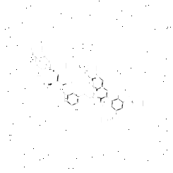 CCN1CCN(C(C)(C)C=C(C#N)C(=O)Nc2cccc(CCn3c(=O)c(-c4cc(OC)cc(OC)c4Cl)cc4cnc(NC)nc43)c2)CC1